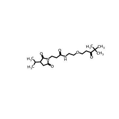 CC(C)C1CC(=O)N(CCC(=O)NCCOCCC(=O)C(C)(C)C)C1=O